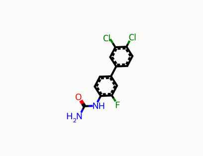 NC(=O)Nc1ccc(-c2ccc(Cl)c(Cl)c2)cc1F